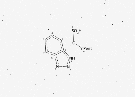 CCCCCOS(=O)(=O)O.c1ccc2[nH]nnc2c1